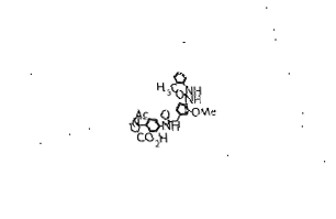 COc1cc(CC(=O)Nc2ccc(C3C(C(=O)O)CCN3C(C)=O)cc2)ccc1NC(=O)Nc1ccccc1C